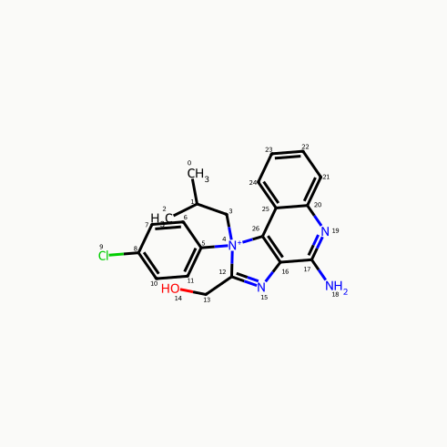 CC(C)C[N+]1(c2ccc(Cl)cc2)C(CO)=Nc2c(N)nc3ccccc3c21